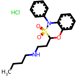 CCCCNCCC1Oc2ccccc2N(c2ccccc2)S1(=O)=O.Cl